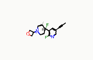 CC#Cc1cnc(F)c([C@@]2(F)CCN(C3COC3)C[C@@H]2C)c1